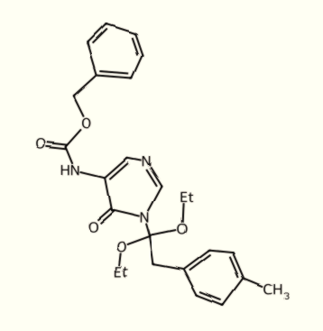 CCOC(Cc1ccc(C)cc1)(OCC)n1cncc(NC(=O)OCc2ccccc2)c1=O